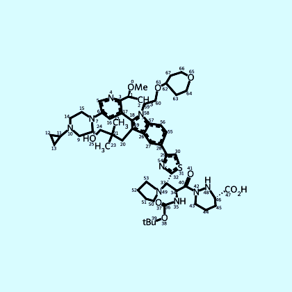 CO[C@@H](C)c1ncc(N2CCN(C3CC3)CC2)cc1-c1c(CC(C)(C)CO)c2cc(-c3csc([C@H]([C@H](NC(=O)OC(C)(C)C)C(=O)N4CCC[C@@H](C(=O)O)N4)N4CCCC4)n3)ccc2n1CCOC1CCOCC1